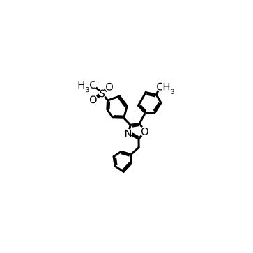 Cc1ccc(-c2oc(Cc3ccccc3)nc2-c2ccc(S(C)(=O)=O)cc2)cc1